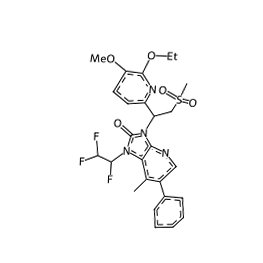 CCOc1nc(C(CS(C)(=O)=O)n2c(=O)n(C(F)C(F)F)c3c(C)c(-c4ccccc4)cnc32)ccc1OC